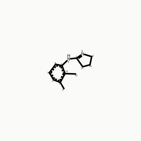 Cc1cccc(NC2=NCCC2)c1C